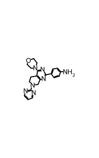 Nc1ccc(-c2nc3c(c(N4CCOCC4)n2)CCN(c2ncccn2)C3)cc1